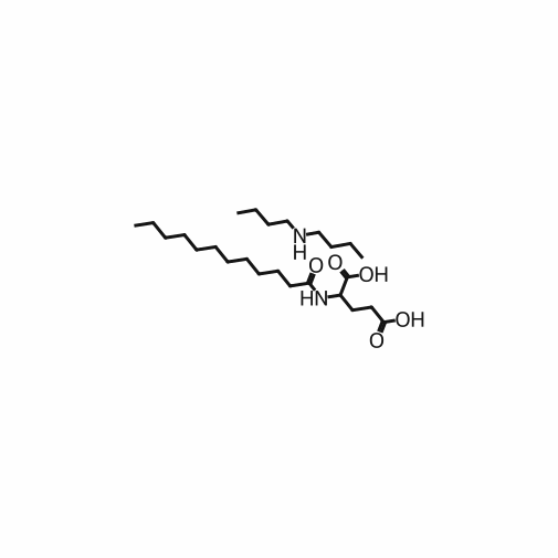 CCCCCCCCCCCC(=O)NC(CCC(=O)O)C(=O)O.CCCCNCCCC